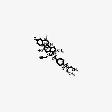 CCN(CC)S(=O)(=O)c1ccc(C(=O)O[C@]2(C(=O)SCC#N)[C@H](C)C[C@H]3[C@@H]4C[C@H](F)C5=CC(=O)C=C[C@]5(C)[C@@]4(F)[C@@H](O)C[C@@]32C)cc1